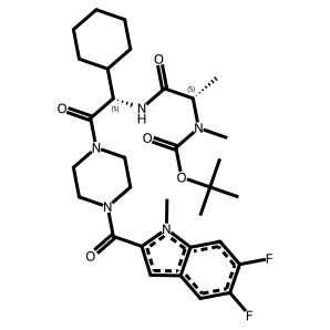 C[C@@H](C(=O)N[C@H](C(=O)N1CCN(C(=O)c2cc3cc(F)c(F)cc3n2C)CC1)C1CCCCC1)N(C)C(=O)OC(C)(C)C